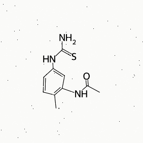 [CH2]c1ccc(NC(N)=S)cc1NC(C)=O